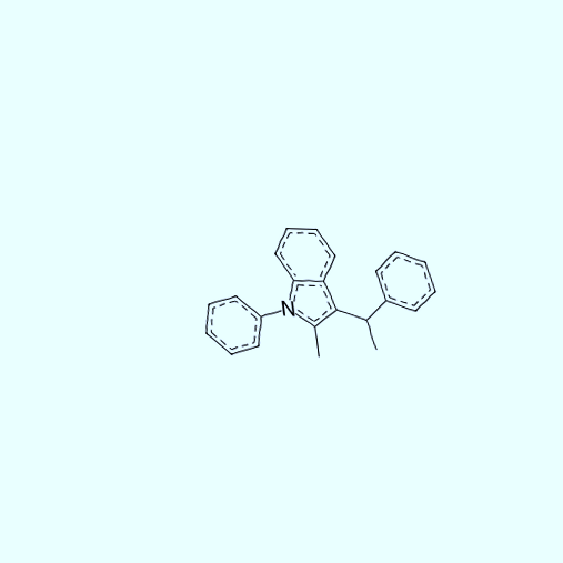 Cc1c(C(C)c2ccccc2)c2ccccc2n1-c1ccccc1